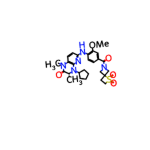 COc1cc(C(=O)N2CC3(CCS3(=O)=O)C2)ccc1Nc1ccc2c(n1)N(C1CCCC1)[C@H](C)C(=O)N2C